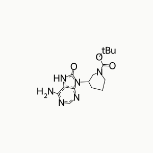 CC(C)(C)OC(=O)N1CCCC(n2c(=O)[nH]c3c(N)ncnc32)C1